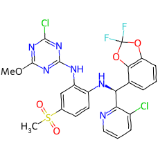 COc1nc(Cl)nc(Nc2cc(S(C)(=O)=O)ccc2N[C@@H](c2cccc3c2OC(F)(F)O3)c2ncccc2Cl)n1